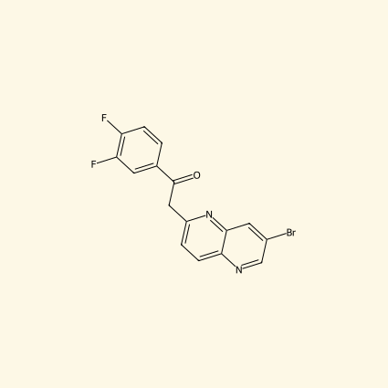 O=C(Cc1ccc2ncc(Br)cc2n1)c1ccc(F)c(F)c1